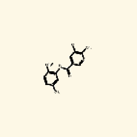 Cc1ccc(C(=O)O)c(NC(=O)c2cnc(C)c(Cl)c2)c1